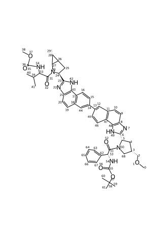 COC[C@H]1C[C@@H](c2nc3ccc4cc(-c5ccc6c(ccc7nc([C@@H]8CC9C([C@@H]9C)N8C(=O)C(NC(=O)OC)C(C)C)[nH]c76)c5)ccc4c3[nH]2)N(C(=O)[C@H](NC(=O)OC(C)(C)C)c2ccccc2)C1